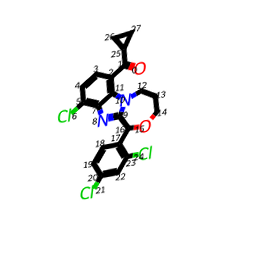 O=C(c1ccc(Cl)c2nc3n(c12)CCCOC3c1ccc(Cl)cc1Cl)C1CC1